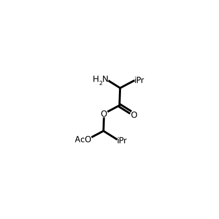 CC(=O)OC(OC(=O)C(N)C(C)C)C(C)C